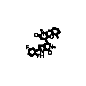 Cc1cccc(C)c1Oc1cn(C)c(=O)cc1-c1cn(C)c(=O)c2[nH]c(-c3cc(F)ccc3F)cc12